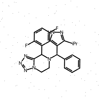 CC(C)c1n[nH]cc1C(c1ccccc1)N1CCn2nnnc2C1c1cc(F)ccc1F